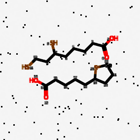 O=C(O)CCCCC(S)CCS.O=C(O)CCCCC1CC[Se]S1